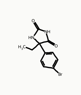 CCC1(c2ccc(Br)cc2)NC(=O)NC1=O